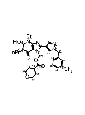 CCCN1C(=O)c2c(nc(-c3cnn(Cc4cccc(C(F)(F)F)c4)c3)n2COC(=O)C2CCOCC2)N(CC)C1O